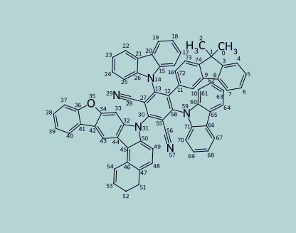 CC1(C)c2ccccc2-c2cc(-c3c(-n4c5ccccc5c5ccccc54)c(C#N)c(-n4c5cc6oc7ccccc7c6cc5c5c6c(ccc54)CCC=C6)c(C#N)c3-n3c4ccccc4c4ccccc43)ccc21